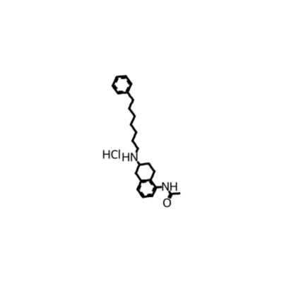 CC(=O)Nc1cccc2c1CCC(NCCCCCCCc1ccccc1)C2.Cl